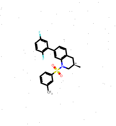 C[C@@H]1Cc2ccc(-c3cc(F)ccc3F)cc2N(S(=O)(=O)c2cccc(C(F)(F)F)c2)C1